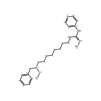 CCON(CCCCCCCCN/C(=N\C#N)Nc1ccncc1)Cc1ccccc1